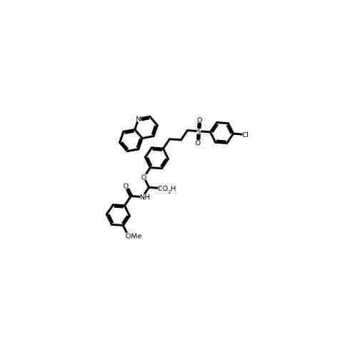 COc1cccc(C(=O)NC(Oc2ccc(CCCS(=O)(=O)c3ccc(Cl)cc3)cc2)C(=O)O)c1.c1ccc2ncccc2c1